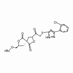 CCCCOC[C@@H]1C[C@@]2(CC(C(=O)CSc3nc(-c4ccccc4Cl)n[nH]3)OC2=O)C(=O)O1